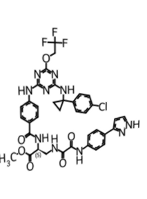 COC(=O)[C@H](CNC(=O)C(=O)Nc1ccc(-c2cc[nH]n2)cc1)NC(=O)c1ccc(Nc2nc(NC3(c4ccc(Cl)cc4)CC3)nc(OCC(F)(F)F)n2)cc1